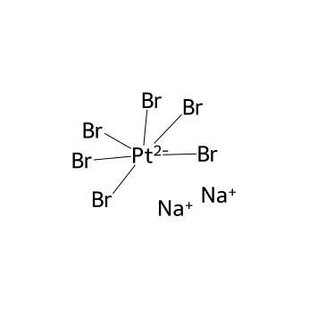 [Br][Pt-2]([Br])([Br])([Br])([Br])[Br].[Na+].[Na+]